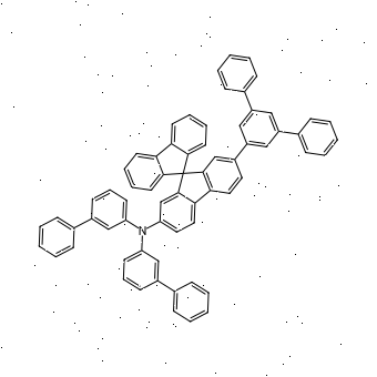 c1ccc(-c2cc(-c3ccccc3)cc(-c3ccc4c(c3)C3(c5ccccc5-c5ccccc53)c3cc(N(c5cccc(-c6ccccc6)c5)c5cccc(-c6ccccc6)c5)ccc3-4)c2)cc1